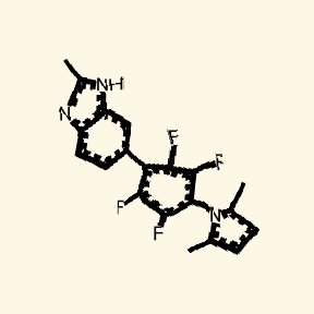 Cc1nc2ccc(-c3c(F)c(F)c(-n4c(C)ccc4C)c(F)c3F)cc2[nH]1